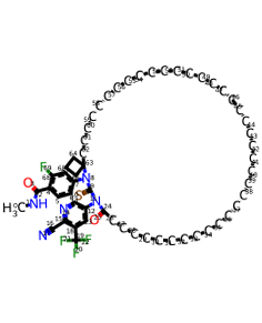 CNC(=O)c1ccc(N2C(=S)N(c3cnc(C#N)c(C(F)(F)F)c3)C(=O)CCCCCCCCCCCCCCCCCCCCCCCCCCCCCCCCCCCCCC23CCC3)cc1F